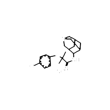 CC(C)(Oc1ccc(Cl)cc1)/C(=N\C#N)NC1C2CC3CC1CN(C3)C2